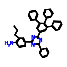 CCCc1cc(-c2nc(-c3ccccc3)nc(-c3cc(-c4ccccc4)c(-c4ccccc4)c(-c4ccccc4)c3)n2)ccc1N